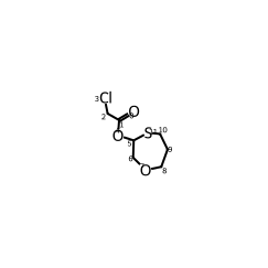 O=C(CCl)OC1COCCCS1